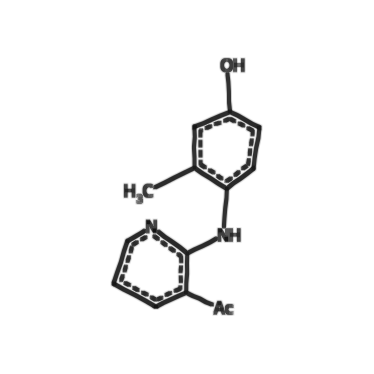 CC(=O)c1cccnc1Nc1ccc(O)cc1C